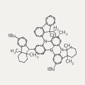 Cc1cc2c3c(c1)N1c4c(cc(C(C)(C)C)cc4C4(C)CCCCC14C)B3c1ccc(C3c4ccc(C(C)(C)C)cc4C4(C)CCCCC34C)cc1N2c1cccc2c1C(C)(C)c1ccccc1-2